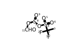 CC(F)(F)S(=O)(=O)OS(=O)OC=O